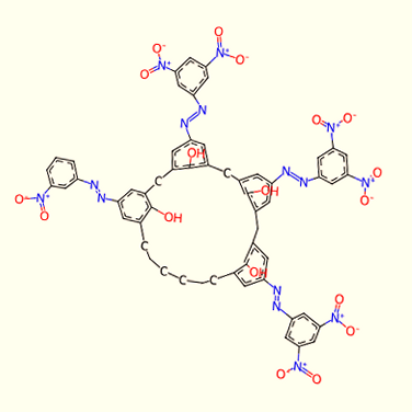 O=[N+]([O-])c1cccc(N=Nc2cc3c(O)c(c2)Cc2cc(N=Nc4cc([N+](=O)[O-])cc([N+](=O)[O-])c4)cc(c2O)Cc2cc(N=Nc4cc([N+](=O)[O-])cc([N+](=O)[O-])c4)cc(c2O)Cc2cc(N=Nc4cc([N+](=O)[O-])cc([N+](=O)[O-])c4)cc(c2O)CCCCCC3)c1